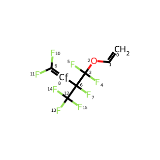 C=COC(F)(F)[C](F)([Cf]=[C](F)F)C(F)(F)F